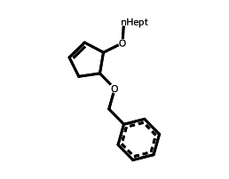 CCCCCCCOC1C=CCC1OCc1ccccc1